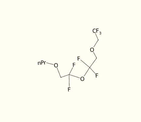 CCCOCC(F)(F)OC(F)(F)COCC(F)(F)F